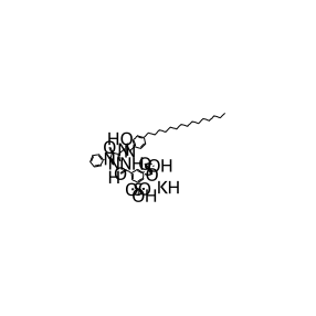 CCCCCCCCCCCCCCCc1ccc(/N=N/c2c(NC(=O)c3cc(S(=O)(=O)O)cc(S(=O)(=O)O)c3)[nH]n(-c3ccccc3)c2=O)c(O)c1.[KH]